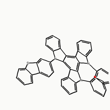 c1ccc(-n2c3ccccc3c3c4c5ccccc5n(-c5ccc6c(c5)oc5ccccc56)c4c4c5ccccc5n(-c5ccccc5)c4c32)cc1